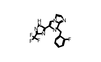 Fc1ccccc1Cc1nc(-c2nc(C(F)(F)F)n[nH]2)cn2ccnc12